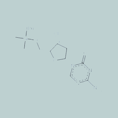 CC(C)(C)[Si](C)(C)OC[C@H]1O[C@@H](n2cnc(N)nc2=O)C[C@H]1O